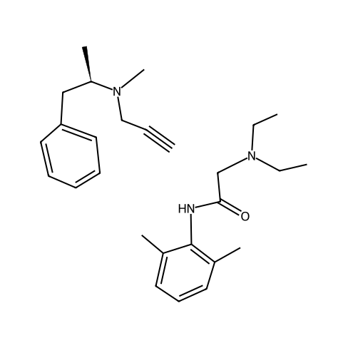 C#CCN(C)[C@H](C)Cc1ccccc1.CCN(CC)CC(=O)Nc1c(C)cccc1C